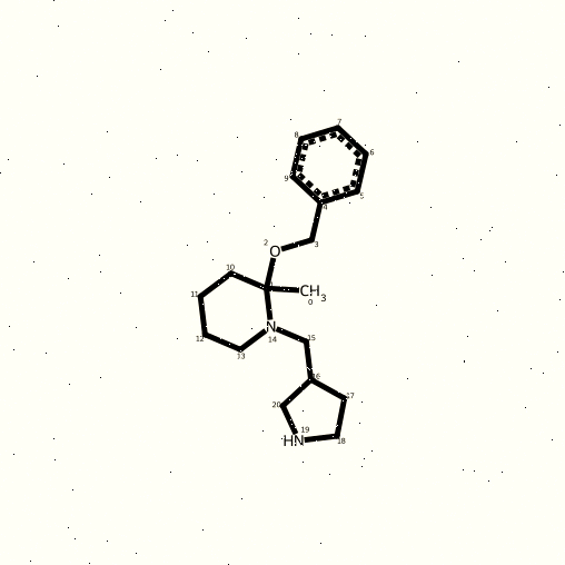 CC1(OCc2ccccc2)CCCCN1CC1CCNC1